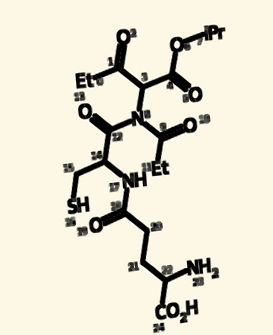 CCC(=O)C(C(=O)OC(C)C)N(C(=O)CC)C(=O)C(CS)NC(=O)CCC(N)C(=O)O